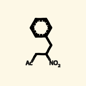 CC(=O)CC(Cc1ccccc1)[N+](=O)[O-]